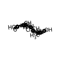 Cc1c(NC(=O)c2nc3c(n2C)CCN(C2CCC(O)CC2)C3)cccc1-c1cccc(NC(=O)c2nc3c(n2C)CCN(CCC2CCC(C(=O)O)CC2)C3)c1Cl